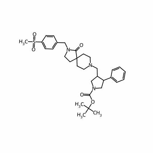 CC(C)(C)OC(=O)N1CC(CN2CCC3(CC2)CCN(Cc2ccc(S(C)(=O)=O)cc2)C3=O)C(c2ccccc2)C1